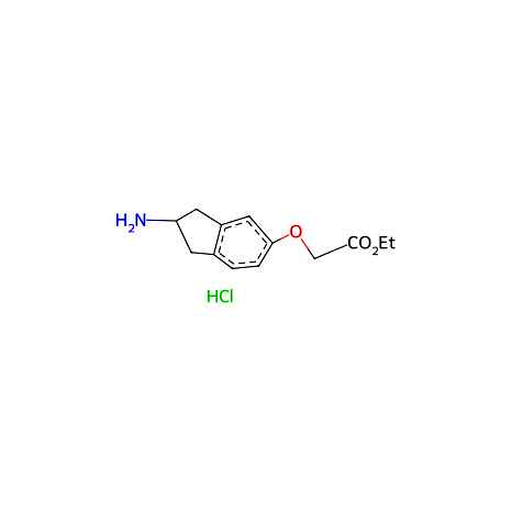 CCOC(=O)COc1ccc2c(c1)CC(N)C2.Cl